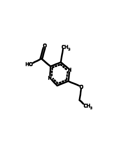 CCOc1cnc(C(=O)O)c(C)n1